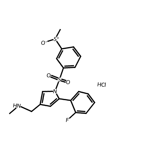 CNCc1cc(-c2ccccc2F)n(S(=O)(=O)c2cccc([S+](C)[O-])c2)c1.Cl